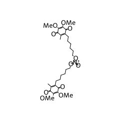 COC1=C(OC)C(=O)C(CCCCCCO[N+](=O)OCCCCCCC2=C(C)C(=O)C(OC)=C(OC)C2=O)=C(C)C1=O